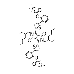 CCCCC(CC)CN1C(=O)C2=C(c3ccc(-c4ccccc4OC(=O)OC(C)(C)C)s3)N(CC(CC)CCCC)C(=O)C2=C1c1ccc(-c2ccccc2OC(=O)OC(C)(C)C)s1